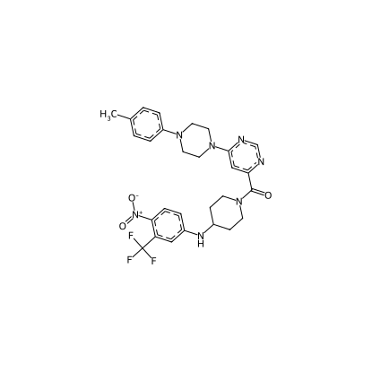 Cc1ccc(N2CCN(c3cc(C(=O)N4CCC(Nc5ccc([N+](=O)[O-])c(C(F)(F)F)c5)CC4)ncn3)CC2)cc1